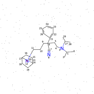 CC(C)N(CCC(C#N)(CCCN1CC2CCC(CC2)C1)c1ccccc1)C(C)C